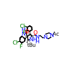 CC(=O)N1CCN(CCNC(=O)[C@@H]2N[C@H](CC(C)(C)C)[C@]3(C(=O)Nc4cc(Cl)c(F)cc43)[C@H]2c2cccc(Cl)c2F)CC1